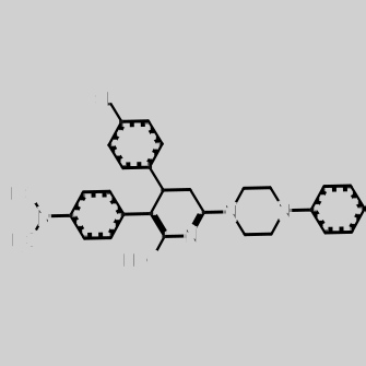 CC1=C(c2ccc(N(C)C)cc2)C(c2ccc(Cl)cc2)CC(N2CCN(c3ccccc3)CC2)=N1